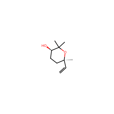 C=C[C@@]1(C)CC[C@@H](O)C(C)(C)O1